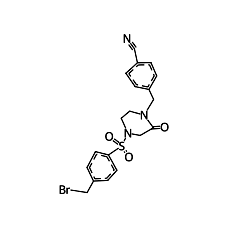 N#Cc1ccc(CN2CCN(S(=O)(=O)c3ccc(CBr)cc3)CC2=O)cc1